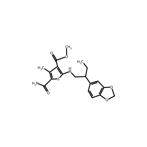 CCC(CNc1sc(C(N)=O)c(C)c1C(=O)OC)c1ccc2c(c1)OCO2